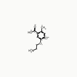 Cc1ccc(OCCN)cc1C(=O)O.Cl